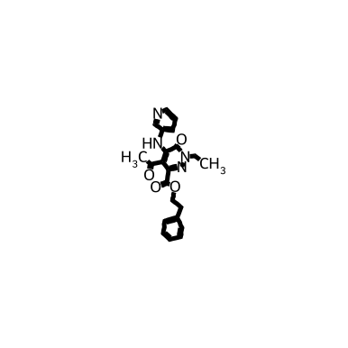 CCn1nc(C(=O)OCCc2ccccc2)c(C(C)=O)c(Nc2cccnc2)c1=O